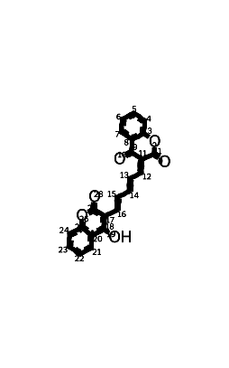 O=C1Oc2ccccc2C(=O)C1=CC=CC=Cc1c(O)c2ccccc2oc1=O